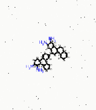 Nc1cc2c(-c3ccc4c(c3)c3ccccc3c3c(N)c(N)ccc43)cc3c4ccccc4ccc3c2cc1N